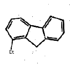 [CH2]Cc1cccc2c1Cc1ccccc1-2